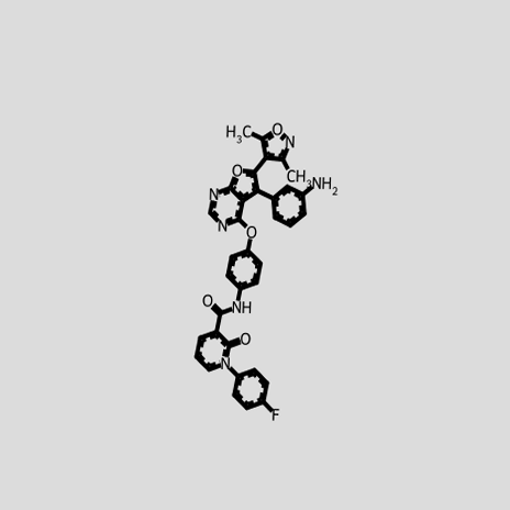 Cc1noc(C)c1-c1oc2ncnc(Oc3ccc(NC(=O)c4cccn(-c5ccc(F)cc5)c4=O)cc3)c2c1-c1cccc(N)c1